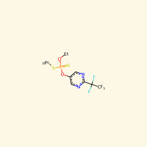 CCCSP(=S)(OCC)Oc1cnc(C(F)(F)C(F)(F)F)nc1